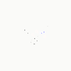 O=C(N[C@H](C(=O)O)C12C[C@@H]3C[C@@H](CC(OCC(F)(F)F)(C3)C1)C2)c1ccc2cc(F)ccc2c1OCc1ccc(C(F)(F)F)cc1